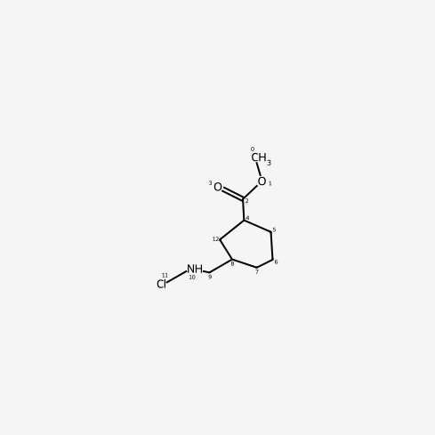 COC(=O)C1CCCC(CNCl)C1